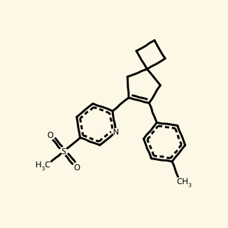 Cc1ccc(C2=C(c3ccc(S(C)(=O)=O)cn3)CC3(CCC3)C2)cc1